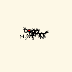 C#Cc1cncc(-c2ccc3c(c2)[C@@]2(N=C(C)C(N)=N2)[C@]2(CC[C@H](OC)CC2)C3)c1